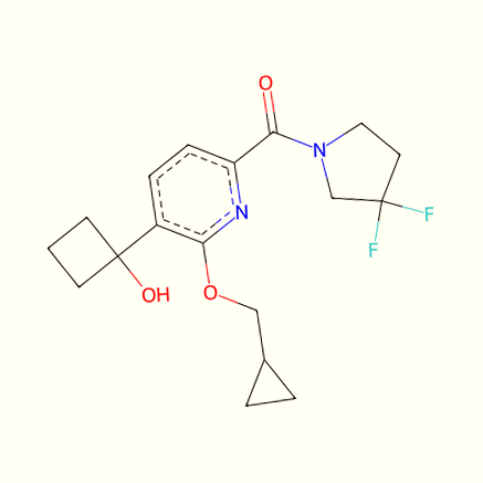 O=C(c1ccc(C2(O)CCC2)c(OCC2CC2)n1)N1CCC(F)(F)C1